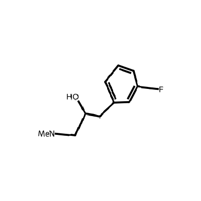 CNCC(O)[CH]c1cccc(F)c1